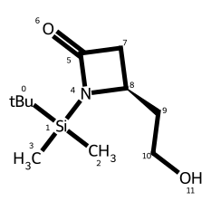 CC(C)(C)[Si](C)(C)N1C(=O)C[C@H]1CCO